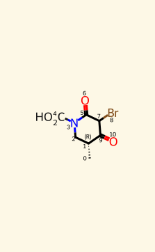 C[C@@H]1CN(C(=O)O)C(=O)C(Br)C1=O